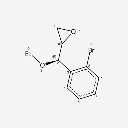 CCO[C@H](c1ccccc1Br)C1CO1